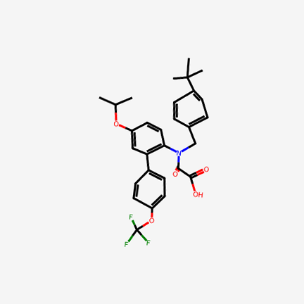 CC(C)Oc1ccc(N(Cc2ccc(C(C)(C)C)cc2)C(=O)C(=O)O)c(-c2ccc(OC(F)(F)F)cc2)c1